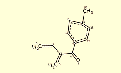 C=CC(=C)C(=O)c1ccc(C)cc1